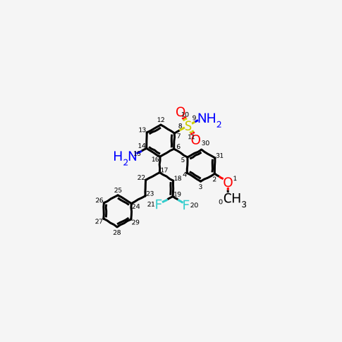 COc1ccc(-c2c(S(N)(=O)=O)ccc(N)c2C(C=C(F)F)CCc2ccccc2)cc1